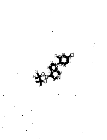 CC1(C)OB(c2cncc3c2ccn3-c2ccc(Cl)cc2F)OC1(C)C